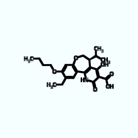 CCCCOc1cc2c(cc1CC)-c1[nH]c(=O)c(C(=O)O)c(O)c1[C@H](C(C)C)CO2